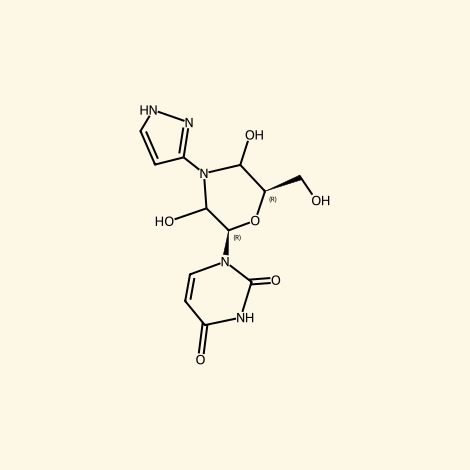 O=c1ccn([C@@H]2O[C@H](CO)C(O)N(c3cc[nH]n3)C2O)c(=O)[nH]1